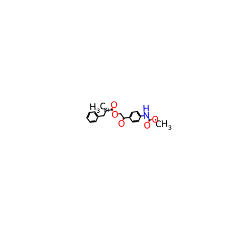 COC(=O)Nc1ccc(C(=O)COC(=O)[C@@H](C)Cc2ccccc2)cc1